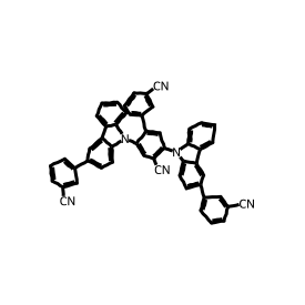 N#Cc1cccc(-c2ccc3c(c2)c2ccccc2n3-c2cc(-c3cccc(C#N)c3)c(-n3c4ccccc4c4cc(-c5cccc(C#N)c5)ccc43)cc2C#N)c1